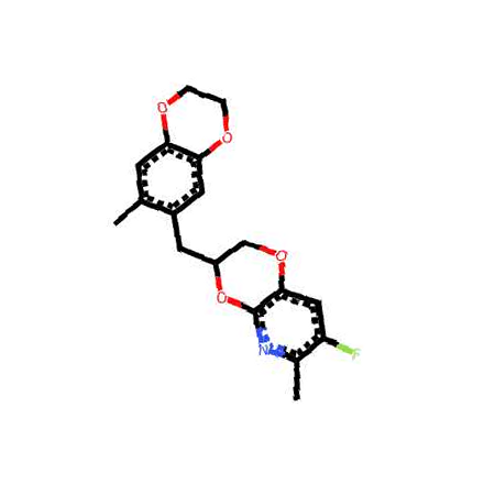 Cc1cc2c(cc1CC1COc3cc(F)c(C)nc3O1)OCCO2